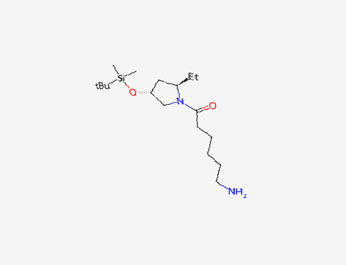 CC[C@@H]1C[C@@H](O[Si](C)(C)C(C)(C)C)CN1C(=O)CCCCCN